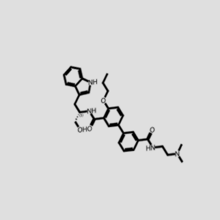 CCCOc1ccc(-c2cccc(C(=O)NCCN(C)C)c2)cc1C(=O)N[C@H](CO)Cc1c[nH]c2ccccc12